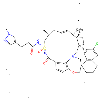 CO[C@H]1/C=C/C[C@H](C)C[S@@](=O)(NC(=O)CCc2cnn(C)c2)=NC(=O)c2ccc3c(c2)N(C[C@@H]2CC[C@H]21)C[C@@]1(CCCc2cc(Cl)ccc21)CO3